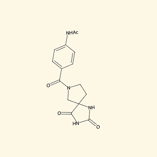 CC(=O)Nc1ccc(C(=O)N2CCC3(C2)NC(=O)NC3=O)cc1